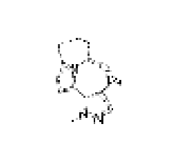 Cn1ncc(Br)c1-c1ccc2n1C(=O)CCC2